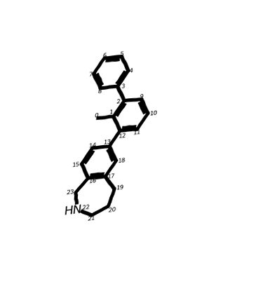 Cc1c(-c2ccccc2)cccc1-c1ccc2c(c1)CCCNC2